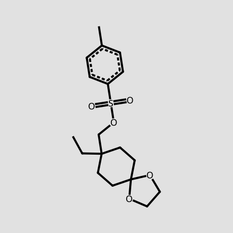 CCC1(COS(=O)(=O)c2ccc(C)cc2)CCC2(CC1)OCCO2